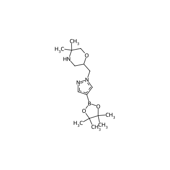 CC1(C)COC(Cn2cc(B3OC(C)(C)C(C)(C)O3)cn2)CN1